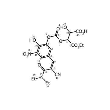 CCOC(=O)C(OC(=O)Oc1cc(C=C(C#N)C(=O)N(CC)CC)cc([N+](=O)[O-])c1O)C(O)C(=O)O